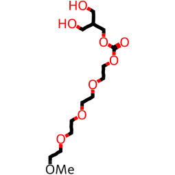 COCCOCCOCCOCCOC(=O)OCC(CO)CO